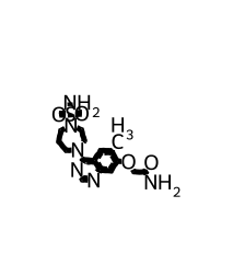 Cc1cc2c(N3CCCN(S(N)(=O)=O)CC3)ncnc2cc1OCC(N)=O